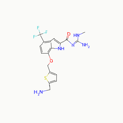 CNC(N)=NC(=O)c1cc2c(C(F)(F)F)ccc(OCc3ccc(CN)s3)c2[nH]1